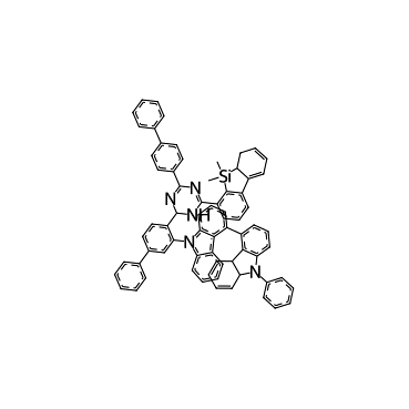 C[Si]1(C)c2c(cccc2C2=NC(c3ccc(-c4ccccc4)cc3)=NC(c3ccc(-c4ccccc4)cc3-n3c4ccccc4c4c(-c5cccc6c5C5C=CC=CC5N6c5ccccc5)cccc43)N2)C2=CC=CCC21